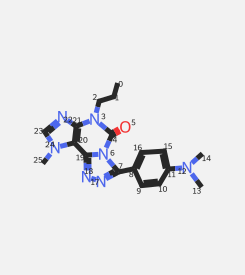 CCCn1c(=O)n2c(-c3ccc(N(C)C)cc3)nnc2c2c1ncn2C